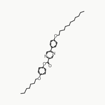 CCCCCCCCCCCOc1ccc(-c2cnc(C(=O)Oc3ccc(OCCCCCCC)cc3)cn2)cc1